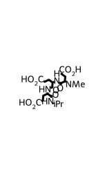 CNC(CCC(=O)O)C(=O)NC(CCC(=O)O)C(=O)NC(CCC(=O)O)C(=O)NC(C)C